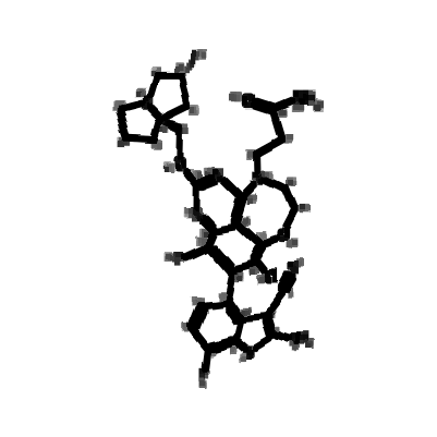 N#Cc1c(N)sc2c(F)ccc(-c3c(Cl)c4c5c(nc(OC[C@@]67CCCN6C[C@H](F)C7)nc5c3F)N(CCC(N)=O)CCO4)c12